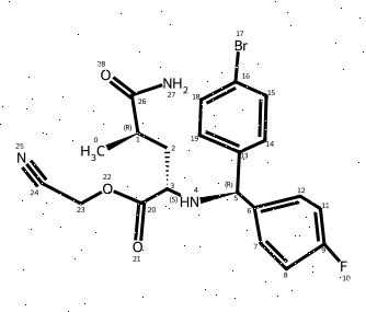 C[C@H](C[C@H](N[C@H](c1ccc(F)cc1)c1ccc(Br)cc1)C(=O)OCC#N)C(N)=O